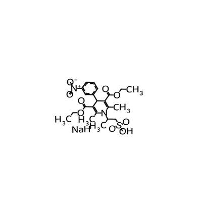 CCOC(=O)C1=C(C)N(C(C)CS(=O)(=O)O)C(C)=C(C(=O)OCC)C1c1cccc([N+](=O)[O-])c1.[NaH]